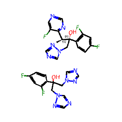 C[C@@H](c1ncncc1F)[C@](O)(Cn1cncn1)c1ccc(F)cc1F.OC(Cn1cncn1)(Cn1cncn1)c1ccc(F)cc1F